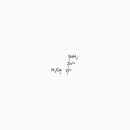 [GaH3].[O-2].[SnH2].[Zn+2]